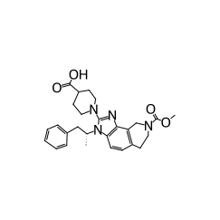 COC(=O)N1CCc2ccc3c(nc(N4CCC(C(=O)O)CC4)n3[C@H](C)Cc3ccccc3)c2C1